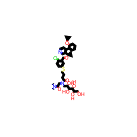 CN(C)C(=O)CN(C[C@H](O)[C@@H](O)[C@H](O)[C@H](O)CO)C(=O)CCCSc1ccc(Cl)c(COC2(c3cnccc3-c3ccccc3OC3CC3)CC2)c1